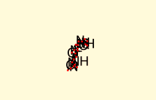 CC(C)CC(=O)N1CCC[C@H]1c1ncc(-c2ccc3c(c2)OCn2c-3c(F)c3cc(-c4cnc([C@@H]5CCCN5C(=O)CC(C)C)[nH]4)ccc32)[nH]1